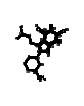 CC(C)=CCn1c(N2CCCC(N)C2)nc2[nH]c(=O)[nH]c(=O)c21